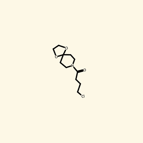 O=C(CCCCl)N1CCC2(CC1)OCCO2